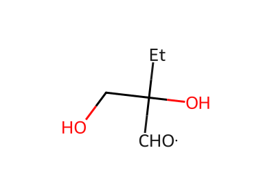 CCC(O)([C]=O)CO